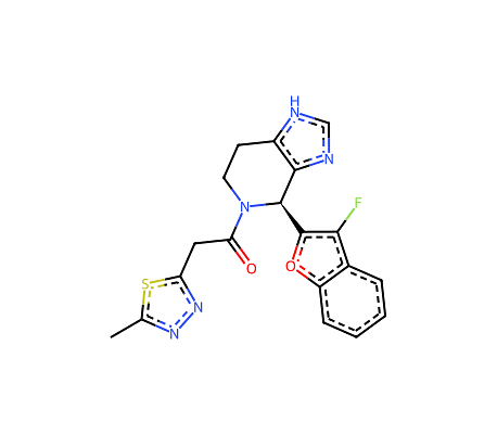 Cc1nnc(CC(=O)N2CCc3[nH]cnc3[C@H]2c2oc3ccccc3c2F)s1